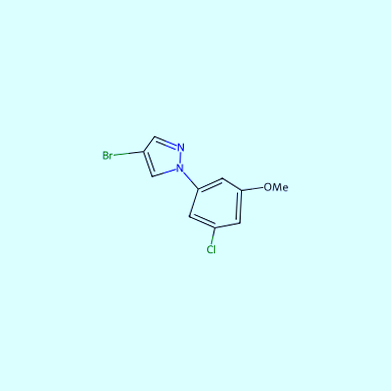 COc1cc(Cl)cc(-n2cc(Br)cn2)c1